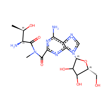 C[C@@H](O)[C@H](N)C(=O)N(C)C(=O)c1nc(N)c2ncn([C@@H]3O[C@H](CO)C(O)C3O)c2n1